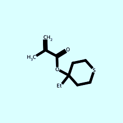 C=C(C)C(=O)OC1(CC)CCSCC1